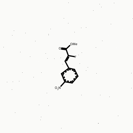 COC(=O)/C(F)=C/c1cccc([N+](=O)[O-])c1